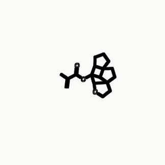 C=C(C)C(=O)OC12C3CCCC34CCC3(CCOC31)C42